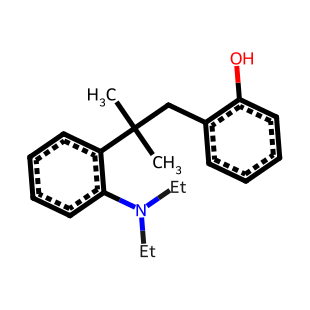 CCN(CC)c1ccccc1C(C)(C)Cc1ccccc1O